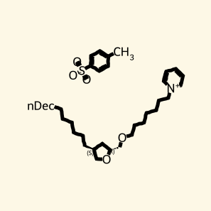 CCCCCCCCCCCCCCCC[C@@H]1CO[C@@H](COCCCCCCC[n+]2ccccc2)C1.Cc1ccc(S(=O)(=O)[O-])cc1